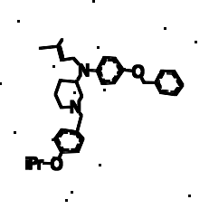 CC(C)=CCN(c1ccc(OCc2ccccc2)cc1)C1CCCN(Cc2ccc(OC(C)C)cc2)C1